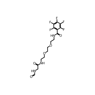 O=CNCC(=O)NCCOCCOCCNC(=O)c1c(F)c(F)c(F)c(F)c1F